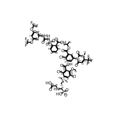 CC(C)OC(=O)c1cc(-n2c(=O)cc(C(F)(F)F)n(C)c2=O)ccc1Cl.COc1c(Cl)ccc(Cl)c1C(=O)O.C[S+](C)C.O=C(Nc1nc(OC(F)F)cc(OC(F)F)n1)NS(=O)(=O)c1ccccc1C(=O)O.O=C(O)CNCP(=O)([O-])O